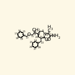 C[C@H](C(N)=O)N1CCC([C@@H](C)COCc2ccccc2)=CC(Cc2ccccc2)C1=O